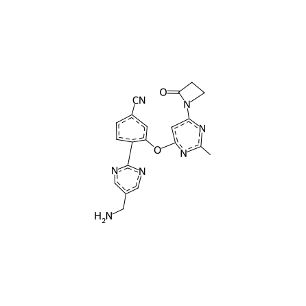 Cc1nc(Oc2cc(C#N)ccc2-c2ncc(CN)cn2)cc(N2CCC2=O)n1